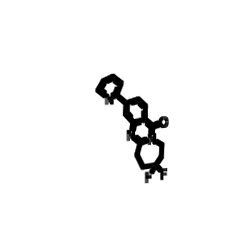 O=c1c2ccc(-c3ccccn3)cc2nc2n1CCC(F)(F)CC2